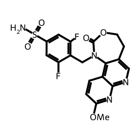 COc1ccc2c3c(cnc2n1)CCOC(=O)N3Cc1c(F)cc(S(N)(=O)=O)cc1F